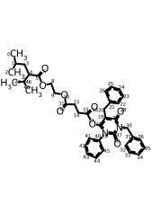 CC(C)CC(C(=O)OCCOC(=O)CCC(=O)Oc1c(Cc2ccccc2)c(=O)n(Cc2ccccc2)c(=O)n1-c1ccccc1)C(C)C